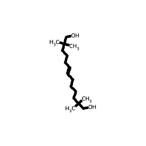 CC(C)(CO)CCCC=CCCCCC(C)(C)CO